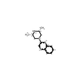 C[C@@H]1CN(c2cnc3ccccc3n2)C[C@H](C)N1